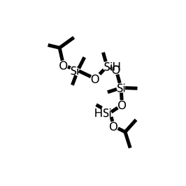 CC(C)O[SiH](C)O[Si](C)(C)O[SiH](C)O[Si](C)(C)OC(C)C